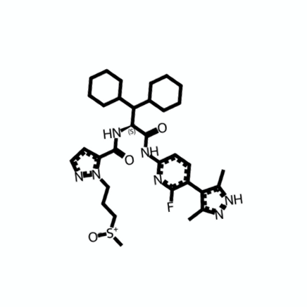 Cc1n[nH]c(C)c1-c1ccc(NC(=O)[C@@H](NC(=O)c2ccnn2CCC[S+](C)[O-])C(C2CCCCC2)C2CCCCC2)nc1F